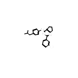 CC(C)Cc1ccc(Nc2nc(-c3cccc(Cl)c3)nc3c2CCC3)cc1